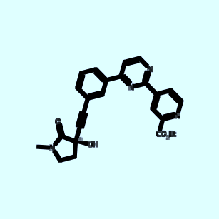 CCOC(=O)c1cc(-c2nccc(-c3cccc(C#C[C@]4(O)CCN(C)C4=O)c3)n2)ccn1